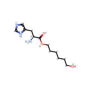 N[C@@H](Cc1cnc[nH]1)C(=O)OCCCCCCO